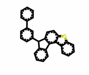 c1ccc(-c2cccc(C3c4ccccc4-c4c3ccc3sc5ccccc5c43)c2)cc1